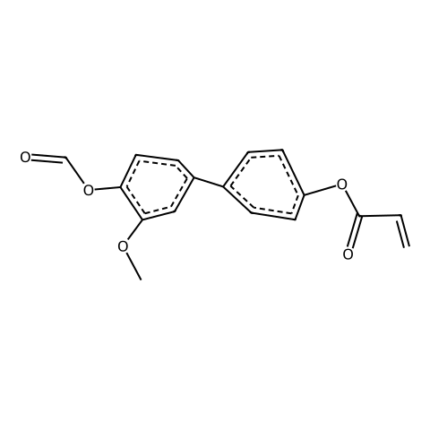 C=CC(=O)Oc1ccc(-c2ccc(OC=O)c(OC)c2)cc1